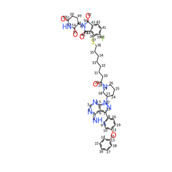 Nc1ncnc2c1c(-c1ccc(Oc3ccccc3)cc1)nn2[C@@H]1CCCN(C(=O)CCCCCCCSc2c(F)ccc3c2C(=O)N(C2CCC(=O)NC2=O)C3=O)C1